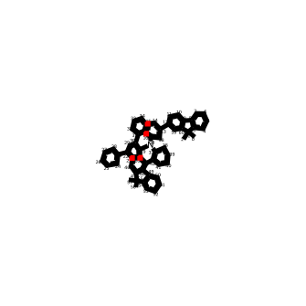 CC1(C)c2ccccc2-c2ccc(-c3cccc(N(c4ccc(-c5ccccc5)cc4-c4ccccc4)c4ccccc4-c4cccc5c4-c4ccccc4C5(C)C)c3)cc21